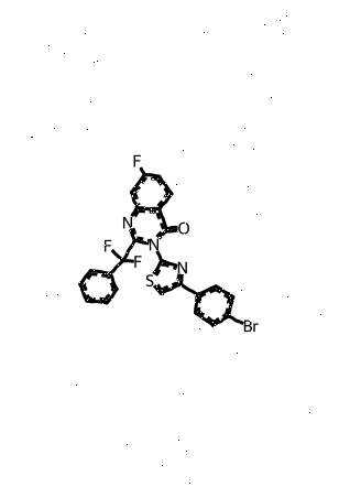 O=c1c2ccc(F)cc2nc(C(F)(F)c2ccccc2)n1-c1nc(-c2ccc(Br)cc2)cs1